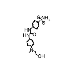 CN(CCO)c1ccc(NC(=O)Nc2ccc(S(N)(=O)=O)cc2)cc1